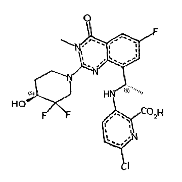 C[C@H](Nc1ccc(Cl)nc1C(=O)O)c1cc(F)cc2c(=O)n(C)c(N3CC[C@H](O)C(F)(F)C3)nc12